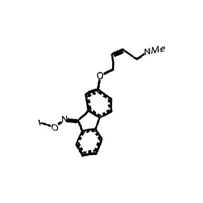 CNC/C=C\COc1ccc2c(c1)/C(=N/OI)c1ccccc1-2